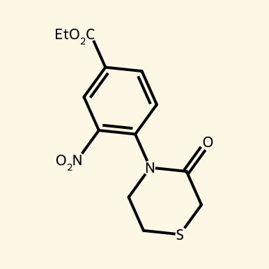 CCOC(=O)c1ccc(N2CCSCC2=O)c([N+](=O)[O-])c1